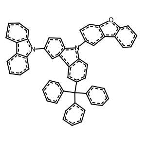 c1ccc(C(c2ccccc2)(c2ccccc2)c2ccc3c(c2)c2cc(-n4c5ccccc5c5ccccc54)ccc2n3-c2ccc3oc4ccccc4c3c2)cc1